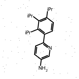 CC(C)c1ccc(-c2ccc(N)cn2)c(C(C)C)c1C(C)C